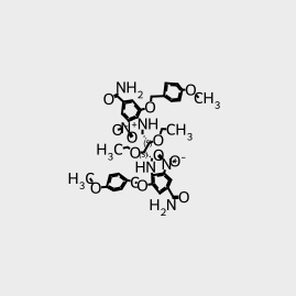 CCO[C@@H](CNc1c(OCc2ccc(OC)cc2)cc(C(N)=O)cc1[N+](=O)[O-])[C@H](CNc1c(OCc2ccc(OC)cc2)cc(C(N)=O)cc1[N+](=O)[O-])OCC